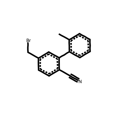 Cc1ccccc1-c1cc(CBr)ccc1C#N